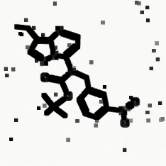 CCc1cnn2c(N(Cc3cccc([N+](=O)[O-])c3)C(=O)OC(C)(C)C)ccnc12